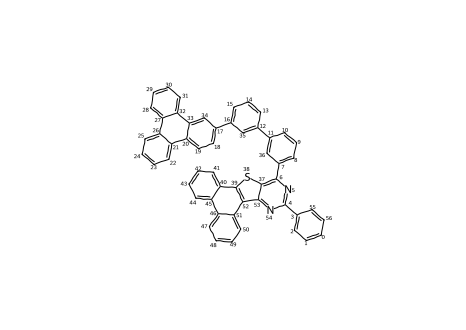 c1ccc(-c2nc(-c3cccc(-c4cccc(-c5ccc6c7ccccc7c7ccccc7c6c5)c4)c3)c3sc4c5ccccc5c5ccccc5c4c3n2)cc1